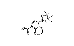 COC(=O)c1ccc(B2OC(C)(C)C(C)(C)O2)c2c1OCCO2